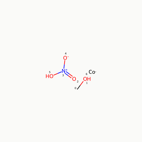 CO.O=[N+]([O-])O.[Co]